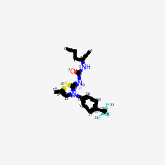 CCCC(C)NC(=O)/N=c1\sc(C)cn1-c1ccc(C(F)(F)F)cc1